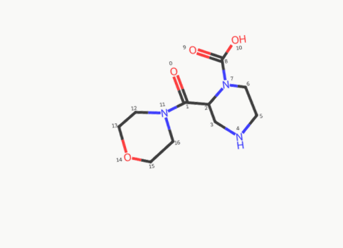 O=C(C1CNCCN1C(=O)O)N1CCOCC1